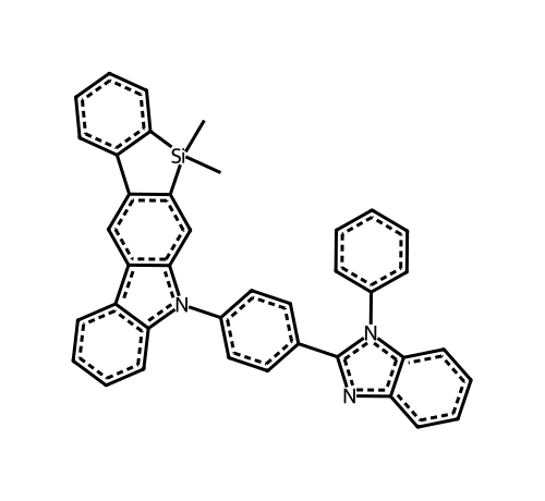 C[Si]1(C)c2ccccc2-c2cc3c4ccccc4n(-c4ccc(-c5nc6ccccc6n5-c5ccccc5)cc4)c3cc21